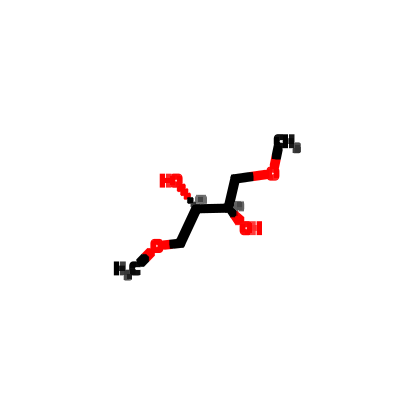 COC[C@@H](O)[C@@H](O)COC